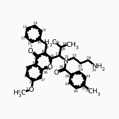 COc1ccc2c(=O)c(Cc3ccccc3)c(C(C(C)C)N(CCCN)C(=O)c3ccc(C)cc3)oc2c1